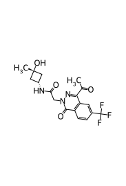 CC(=O)c1nn(CC(=O)N[C@H]2C[C@@](C)(O)C2)c(=O)c2ccc(C(F)(F)F)cc12